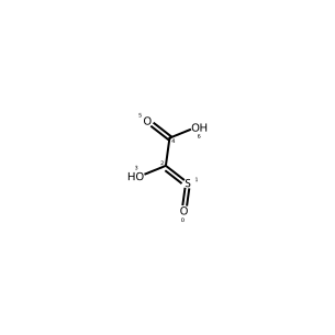 O=S=C(O)C(=O)O